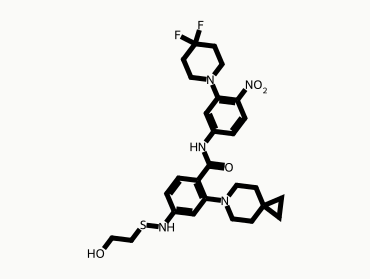 O=C(Nc1ccc([N+](=O)[O-])c(N2CCC(F)(F)CC2)c1)c1ccc(NSCCO)cc1N1CCC2(CC1)CC2